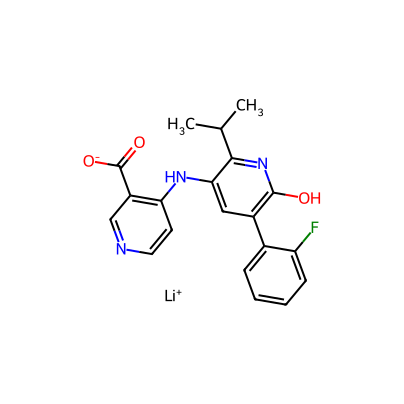 CC(C)c1nc(O)c(-c2ccccc2F)cc1Nc1ccncc1C(=O)[O-].[Li+]